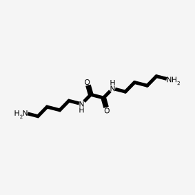 NCCCCNC(=O)C(=O)NCCCCN